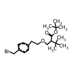 CC(C)(C)OC(=O)C(COCCc1ccc(CBr)cc1)C(C)(C)C